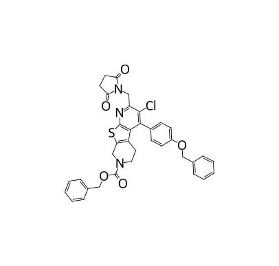 O=C(OCc1ccccc1)N1CCc2c(sc3nc(CN4C(=O)CCC4=O)c(Cl)c(-c4ccc(OCc5ccccc5)cc4)c23)C1